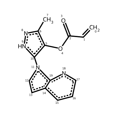 C=CC(=O)Oc1c(C)n[nH]c1-n1ccc2cccnc21